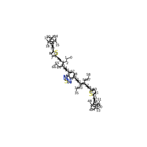 CCC/C(C#Cc1ccc(C#C[Si](C(C)C)(C(C)C)C(C)C)s1)=C(\C#Cc1ccc(C#C/C(CCC)=C(/C#Cc2ccc(C#C[Si](C(C)C)(C(C)C)C(C)C)s2)CCC)c2nsnc12)CCC